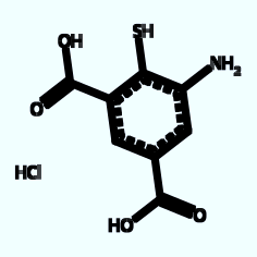 Cl.Nc1cc(C(=O)O)cc(C(=O)O)c1S